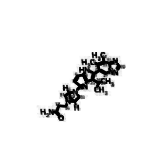 Cc1c(-c2[nH]c3ccc(N4C[C@H]5C[C@@H]4CN5CCC(N)=O)nc3c2C(C)C)cn2ncnc2c1C